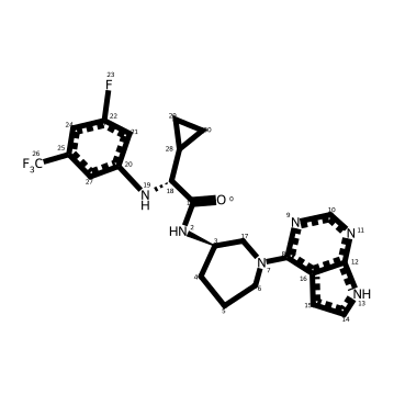 O=C(N[C@@H]1CCCN(c2ncnc3[nH]ccc23)C1)[C@H](Nc1cc(F)cc(C(F)(F)F)c1)C1CC1